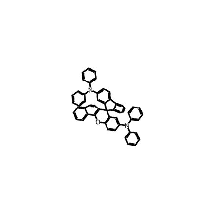 c1ccc(N(c2ccccc2)c2ccc3c(c2)C2(c4ccccc4-c4ccc(N(c5ccccc5)c5ccccc5)cc42)c2ccc4ccccc4c2O3)cc1